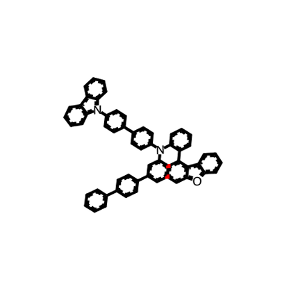 c1ccc(-c2ccc(-c3cccc(N(c4ccc(-c5ccc(-n6c7ccccc7c7ccccc76)cc5)cc4)c4ccccc4-c4cccc5oc6ccccc6c45)c3)cc2)cc1